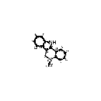 BrN1Cc2c([nH]c3ccccc23)-c2ccccc21